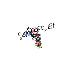 CCOC(=O)[C@H]1CC[C@H](OC2CCCc3c(C(F)(F)F)nn(-c4cccc(O[C@@H](C)c5ccc6c(c5)OC(F)(F)O6)c4)c32)CC1